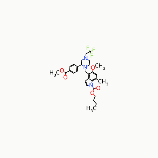 CCCCOC(=O)n1ccc2c(CN3CCN(CC(F)(F)F)CC3c3ccc(C(=O)OC)cc3)c(OC)cc(C)c21